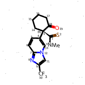 CNC(=S)[C@@]1(c2ccc3nc(C(F)(F)F)cn3c2)CCCCC1=O